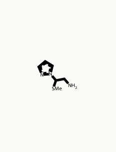 CSC(CN)n1cccn1